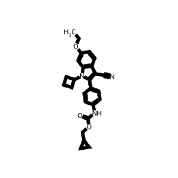 CCOc1ccc2c(C#N)c(-c3ccc(NC(=O)OCC4CC4)cc3)n(C3CCC3)c2c1